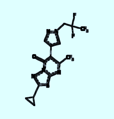 O=c1c(-c2cnn(CC(F)(F)C(F)(F)F)c2)c(C(F)(F)F)nc2sc(C3CC3)nn12